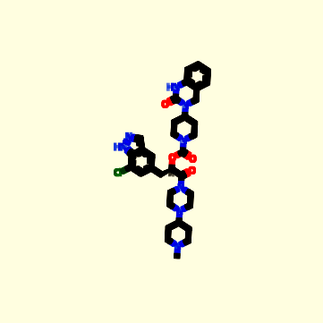 CN1CCC(N2CCN(C(=O)[C@@H](Cc3cc(Cl)c4[nH]ncc4c3)OC(=O)N3CCC(N4Cc5ccccc5NC4=O)CC3)CC2)CC1